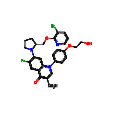 O=C(O)c1cn(-c2ccc(OCCO)cc2)c2cc(N3CCCC3COc3ncccc3Br)c(F)cc2c1=O